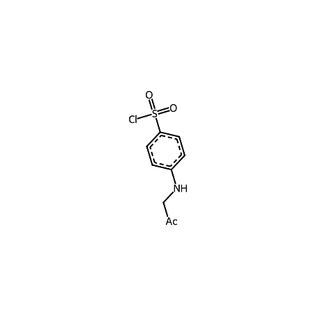 CC(=O)CNc1ccc(S(=O)(=O)Cl)cc1